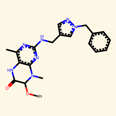 Cc1nc(NCc2cnn(Cc3ccccc3)c2)nc2c1NC(=O)C(OC(C)C)N2C